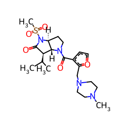 CC(C)[C@H]1C(=O)N(S(C)(=O)=O)[C@H]2CCN(C(=O)c3ccoc3CN3CCN(C)CC3)[C@H]12